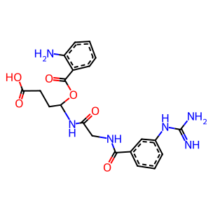 N=C(N)Nc1cccc(C(=O)NCC(=O)NC(CCC(=O)O)OC(=O)c2ccccc2N)c1